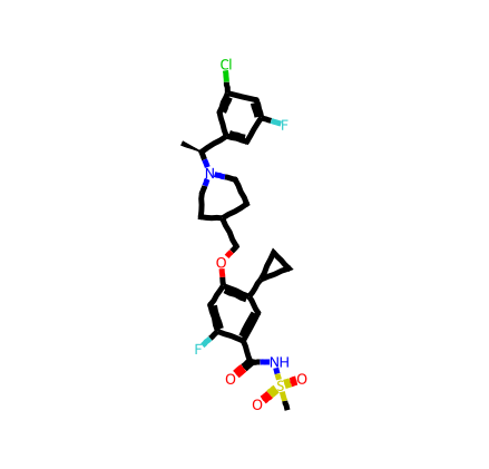 C[C@@H](c1cc(F)cc(Cl)c1)N1CCC(COc2cc(F)c(C(=O)NS(C)(=O)=O)cc2C2CC2)CC1